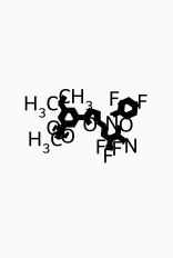 CC(C)c1cc(-c2ccc(-c3cc(C(F)(F)F)c(C#N)c(=O)n3Cc3ccc(F)cc3F)o2)cc(S(C)(=O)=O)c1